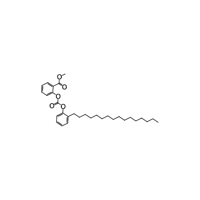 CCCCCCCCCCCCCCCCc1ccccc1OC(=O)Oc1ccccc1C(=O)OC